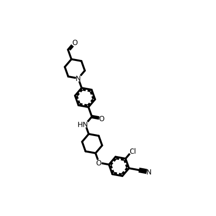 N#Cc1ccc(OC2CCC(NC(=O)c3ccc(N4CCC(C=O)CC4)cc3)CC2)cc1Cl